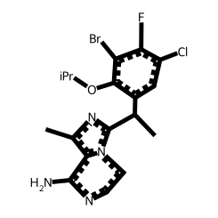 Cc1nc(C(C)c2cc(Cl)c(F)c(Br)c2OC(C)C)n2ccnc(N)c12